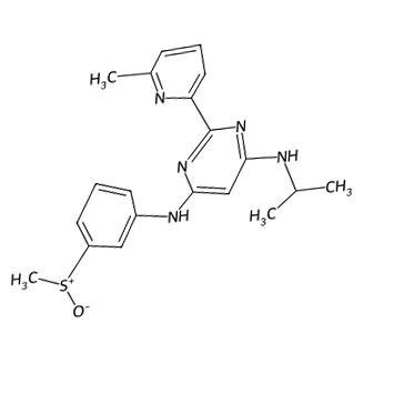 Cc1cccc(-c2nc(Nc3cccc([S+](C)[O-])c3)cc(NC(C)C)n2)n1